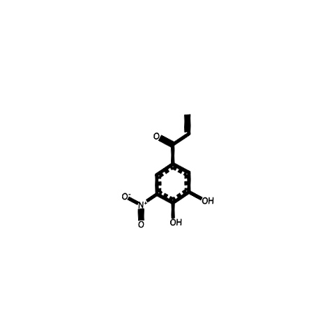 C=CC(=O)c1cc(O)c(O)c([N+](=O)[O-])c1